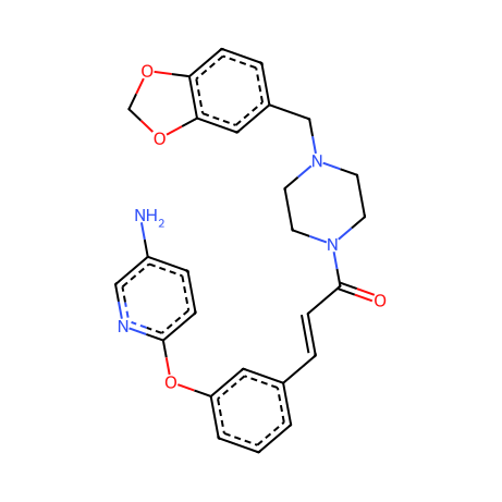 Nc1ccc(Oc2cccc(C=CC(=O)N3CCN(Cc4ccc5c(c4)OCO5)CC3)c2)nc1